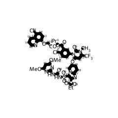 CC(C)OC(=O)c1cc(-n2c(=O)cc(C(F)(F)F)n(C)c2=O)ccc1Cl.CCS(=O)(=O)c1nc2ccccn2c1S(=O)(=O)NC(=O)Nc1nc(OC)cc(OC)n1.O=C(O)COc1ccc(Cl)c2cccnc12